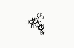 CC(C)(O)[C@@H](Nc1cncc(Br)c1)C(=O)NCC(F)(F)F